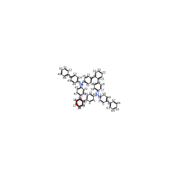 C1=C[C@H](N(c2ccc(-c3ccccc3)cc2)c2ccc(-c3ccccc3-c3ccc(N(c4ccc(-c5ccccc5)cc4)c4ccc(-c5ccccc5)cc4)cc3)cc2)CC=C1c1ccccc1